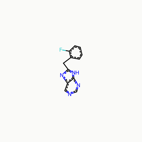 Fc1ccccc1Cc1nc2cncnc2[nH]1